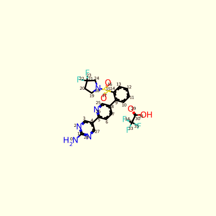 Nc1ncc(-c2ccc(-c3ccccc3S(=O)(=O)N3CCC(F)(F)C3)cn2)cn1.O=C(O)C(F)(F)F